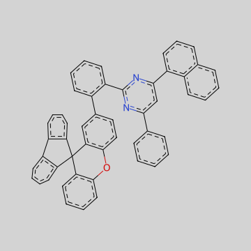 c1ccc(-c2cc(-c3cccc4ccccc34)nc(-c3ccccc3-c3ccc4c(c3)C3(c5ccccc5O4)c4ccccc4-c4ccccc43)n2)cc1